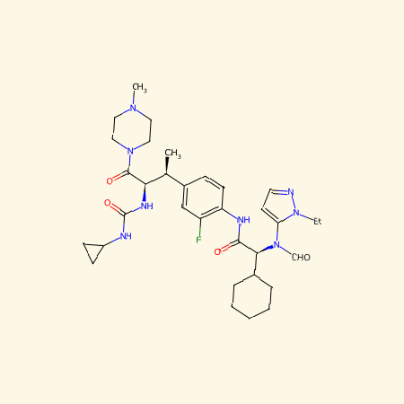 CCn1nccc1N(C=O)[C@H](C(=O)Nc1ccc([C@H](C)[C@@H](NC(=O)NC2CC2)C(=O)N2CCN(C)CC2)cc1F)C1CCCCC1